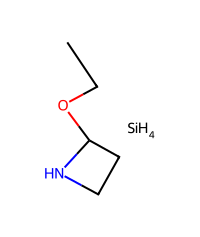 CCOC1CCN1.[SiH4]